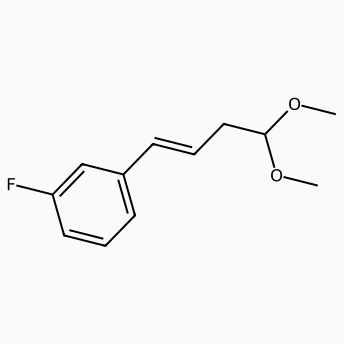 COC(C/C=C/c1cccc(F)c1)OC